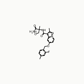 Cc1ccc(COc2ccn3nc(C)c(C(=O)NC(C)(CO)C(N)=O)c3c2)c(F)c1